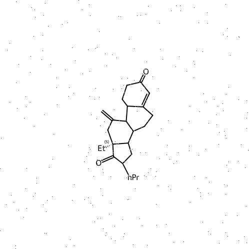 C=C1C[C@]2(CC)C(=O)C(CCC)CC2C2CCC3=CC(=O)CCC3C12